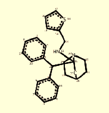 c1ccc(C(c2ccccc2)C2(NCc3cccs3)CC3CCN2CC3)cc1